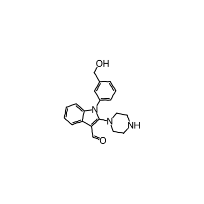 O=Cc1c(N2CCNCC2)n(-c2cccc(CO)c2)c2ccccc12